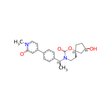 C[C@@H](c1ccc(-c2ccn(C)c(=O)c2)cc1)N1CC[C@]2(CC[C@@H](O)C2)OC1=O